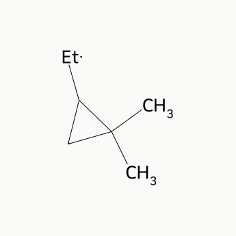 C[CH]C1CC1(C)C